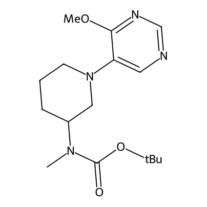 COc1ncncc1N1CCCC(N(C)C(=O)OC(C)(C)C)C1